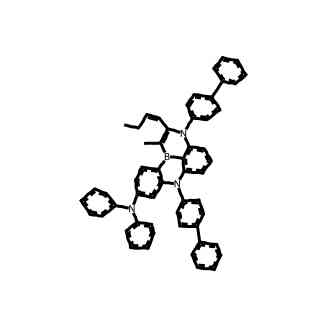 CC/C=C\C1=C(C)B2c3ccc(N(c4ccccc4)c4ccccc4)cc3N(c3ccc(-c4ccccc4)cc3)c3cccc(c32)N1c1ccc(-c2ccccc2)cc1